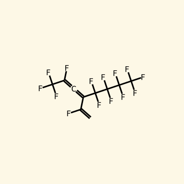 C=C(F)C(=C=C(F)C(F)(F)F)C(F)(F)C(F)(F)C(F)(F)C(F)(F)F